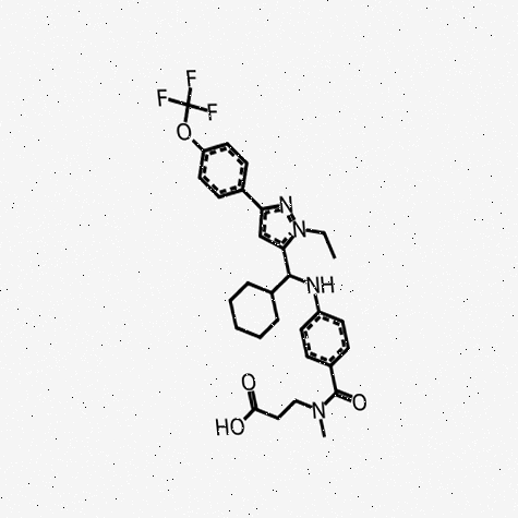 CCn1nc(-c2ccc(OC(F)(F)F)cc2)cc1C(Nc1ccc(C(=O)N(C)CCC(=O)O)cc1)C1CCCCC1